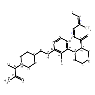 C=C(/N=C\C(=C/C)C(F)(F)F)[C@H]1COCCN1c1ncnc(NCC2CCN(C(C)C(N)=O)CC2)c1F